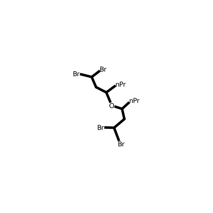 CCCC(CC(Br)Br)OC(CCC)CC(Br)Br